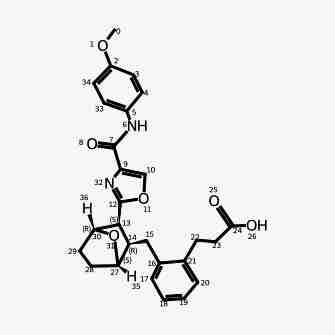 COc1ccc(NC(=O)c2coc([C@H]3[C@@H](Cc4ccccc4CCC(=O)O)[C@@H]4CC[C@H]3O4)n2)cc1